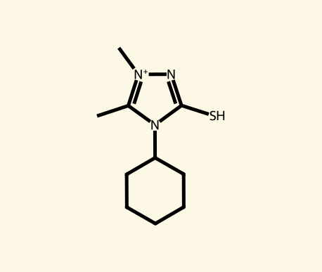 Cc1n(C2CCCCC2)c(S)n[n+]1C